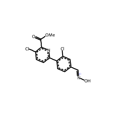 COC(=O)c1nc(-c2ccc(/C=N/O)cc2Cl)ccc1Cl